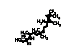 C=C(CCC(C)(C)SCCC1(N)C(C)C12CC2(C)C(F)(F)F)NC(CC)(CC)CO